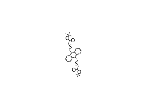 CC(C)(C)OC(=O)CSCc1c2ccccc2c(CSCC(=O)OC(C)(C)C)c2ccccc12